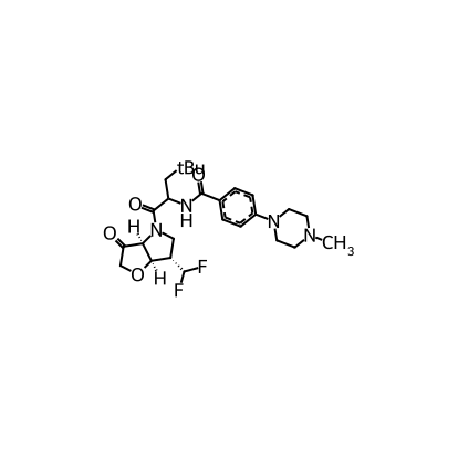 CN1CCN(c2ccc(C(=O)NC(CC(C)(C)C)C(=O)N3C[C@H](C(F)F)[C@H]4OCC(=O)[C@H]43)cc2)CC1